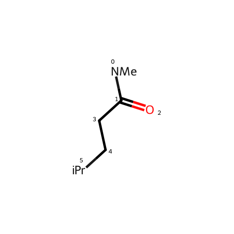 [CH2]NC(=O)CCC(C)C